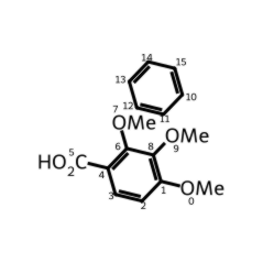 COc1ccc(C(=O)O)c(OC)c1OC.c1ccccc1